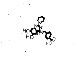 O=C(O)c1ccc(CNc2nc(N3CCCCC3)nc3cc(O)c(O)cc23)cc1